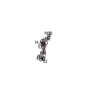 CNCCn1c([C@@]23CC[C@]4(C)C(CC[C@@H]5[C@@]6(C)CCC(OC(=O)CC(C)(C)C(=O)Oc7cc(-n8c(=O)c(Cl)c([C@@]9%10CC[C@]%11(C)[C@H](CC[C@@H]%12[C@@]%13(C)CC[C@H](OC(=O)CC(C)(C)C(=O)O)C(C)(C)[C@@H]%13CC[C@]%12%11C)C9=C(C(C)C)C(=O)C%10)n8CCN)ncc7Cl)C(C)(C)[C@@H]6CC[C@]54C)C2=C(C(C)C)C(=O)C3)c(Cl)c(=O)n1-c1ccc(Cl)cn1